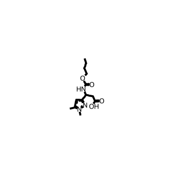 CCCCOC(=O)NC(CC(=O)O)c1cc(C)n(C)n1